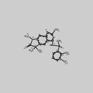 Cc1nc(NC(C)(I)c2cccc(C(F)(F)F)c2C)c2cc3c(cc2n1)N(C)C(=O)C3(C)C